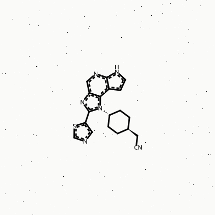 N#CC[C@H]1CC[C@H](n2c(-c3cncs3)nc3cnc4[nH]ccc4c32)CC1